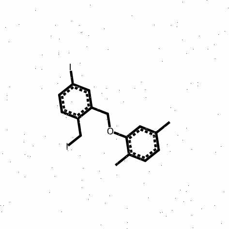 Cc1ccc(C)c(OCc2cc(I)ccc2CI)c1